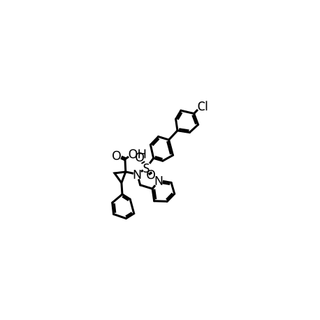 O=C(O)C1(N(Cc2ccccn2)S(=O)(=O)c2ccc(-c3ccc(Cl)cc3)cc2)CC1c1ccccc1